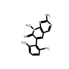 Cc1cccc(C)c1-c1cc2cnc(N)nc2n(C)c1=N